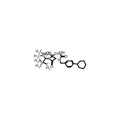 CC1(C)[C@H](N(Cc2ccc(C3CCCCC3)cc2)C(=O)O)C(=O)N1C([Si](C)(C)C)[Si](C)(C)C